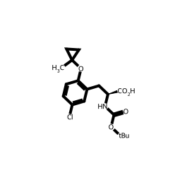 CC(C)(C)OC(=O)N[C@@H](Cc1cc(Cl)ccc1OC1(C)CC1)C(=O)O